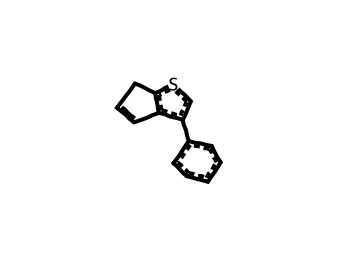 C1=Cc2c(-c3ccccc3)csc2C1